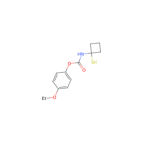 CCOc1ccc(OC(=O)NC2(S)CCC2)cc1